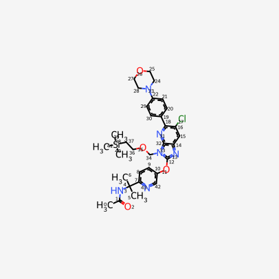 CC(=O)NC(C)(C)c1ccc(Oc2nc3cc(Cl)c(-c4ccc(N5CCOCC5)cc4)nc3n2COCC[Si](C)(C)C)cn1